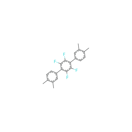 Cc1ccc(-c2c(F)c(F)c(-c3ccc(C)c(C)c3)c(F)c2F)cc1C